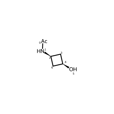 CC(=O)N[C@H]1C[C@@H](O)C1